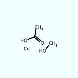 CC(=O)O.CO.[Cd]